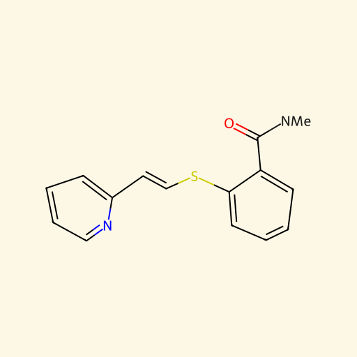 CNC(=O)c1ccccc1S/C=C/c1ccccn1